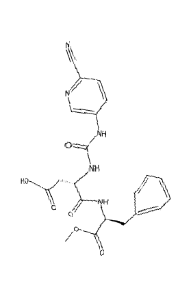 COC(=O)[C@H](Cc1ccccc1)NC(=O)[C@H](CC(=O)O)NC(=O)Nc1ccc(C#N)nc1